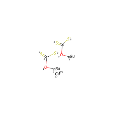 CCCCOC(=S)[S-].CCCCOC(=S)[S-].[Cd+2]